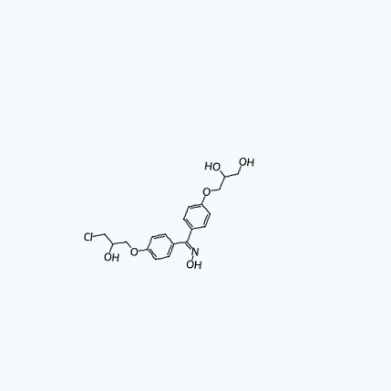 OCC(O)COc1ccc(C(=NO)c2ccc(OCC(O)CCl)cc2)cc1